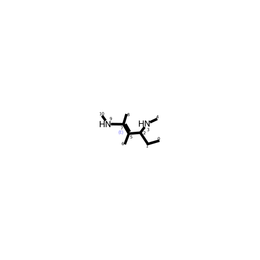 CCC(NC)/C(C)=C(\C)NC